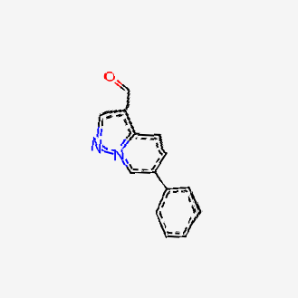 O=Cc1cnn2cc(-c3ccccc3)ccc12